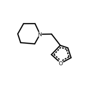 c1cc(CN2CCCCC2)co1